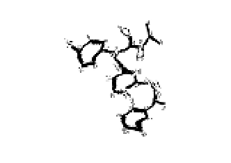 CC(C)NC(=O)N(c1ccc(F)cc1)c1ccnc(N[C@@H](C)c2ccccc2)n1